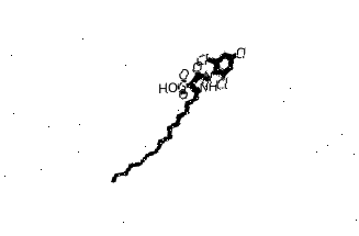 CCCCCCCCCCCCCCCc1[nH]n(-c2c(Cl)cc(Cl)cc2Cl)c(=O)c1S(=O)(=O)O